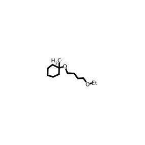 [CH2]C1(OCCCCOCC)CCCCC1